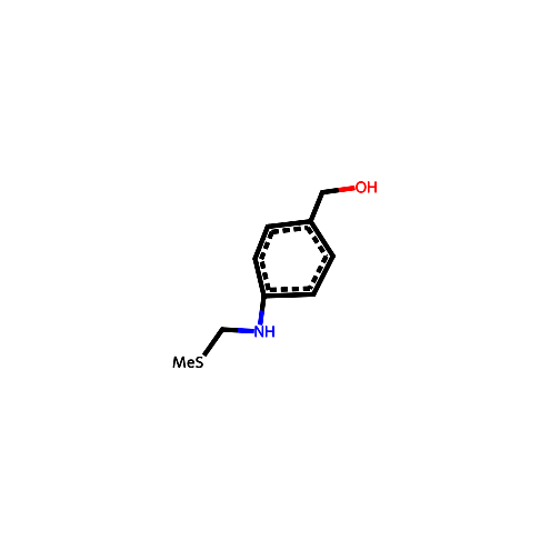 CSCNc1ccc(CO)cc1